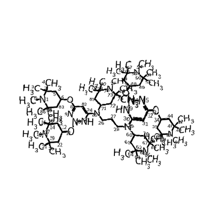 CN1C(C)(C)CC(OC2=NN(OC3CC(C)(C)N(C)C(C)(C)C3)NC(N(CCCN(C3=CC(OC4CC(C)(C)N(C)C(C)(C)C4)=NN(OC4CC(C)(C)N(C)C(C)(C)C4)N3)C3CC(C)(C)N(C)C(C)(C)C3)C3CC(C)(C)N(C)C(C)(C)C3)=C2)CC1(C)C